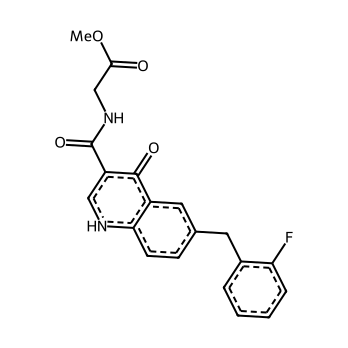 COC(=O)CNC(=O)c1c[nH]c2ccc(Cc3ccccc3F)cc2c1=O